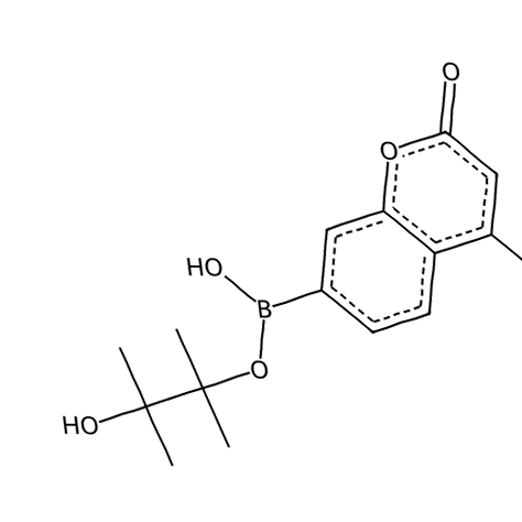 Cc1cc(=O)oc2cc(B(O)OC(C)(C)C(C)(C)O)ccc12